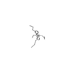 CCCO[Si](CC)(CI)OCCC